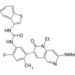 CCn1c(=O)c(-c2cc(NC(=O)Nc3csc4ccccc34)c(F)cc2C)cc2cnc(NC)cc21